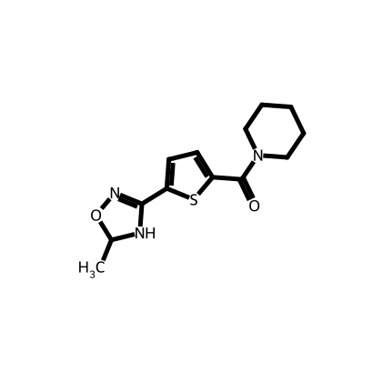 CC1NC(c2ccc(C(=O)N3CCCCC3)s2)=NO1